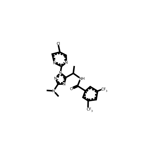 CC(NC(=O)c1cc(C(F)(F)F)cc(C(F)(F)F)c1)c1nc(N(C)C)nn1-c1ncc(Cl)cn1